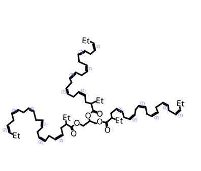 CC/C=C\C/C=C\C/C=C\C/C=C\C/C=C\C/C=C\CC(CC)C(=O)OCC(COC(=O)C(CC)C/C=C\C/C=C\C/C=C\C/C=C\C/C=C\C/C=C\CC)OC(=O)C(CC)C/C=C\C/C=C\C/C=C\C/C=C\C/C=C\C/C=C\CC